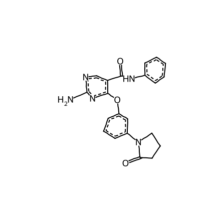 Nc1ncc(C(=O)Nc2ccccc2)c(Oc2cccc(N3CCCC3=O)c2)n1